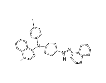 Cc1ccc(N(c2ccc(-n3nc4ccc5ccccc5c4n3)cc2)c2ccc(C)c3ccccc23)cc1